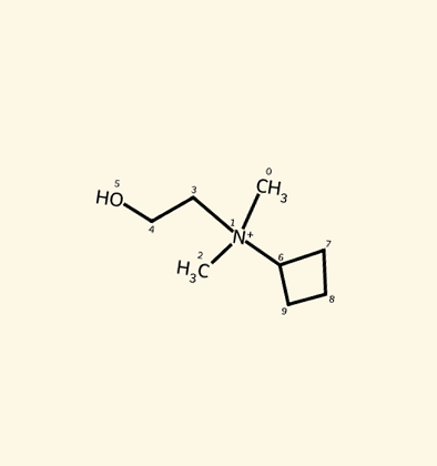 C[N+](C)(CCO)C1CCC1